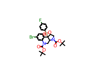 CC(C)(C)OC(=O)N1CC2N(C(=O)OC(C)(C)C)CCC2(S(=O)(=O)c2ccc(F)cc2)c2ccc(Br)cc21